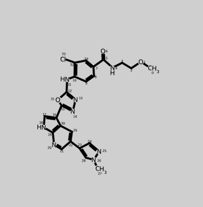 COCCNC(=O)c1ccc(Nc2nnc(-c3c[nH]c4ncc(-c5cnn(C)c5)cc34)o2)c(Cl)c1